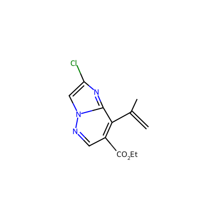 C=C(C)c1c(C(=O)OCC)cnn2cc(Cl)nc12